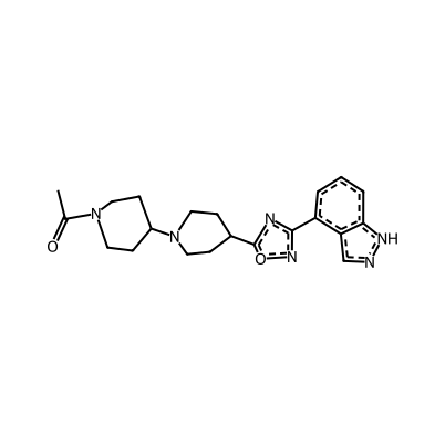 CC(=O)N1CCC(N2CCC(c3nc(-c4cccc5[nH]ncc45)no3)CC2)CC1